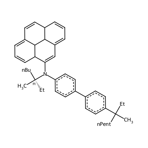 CCCCCC(C)(CC)c1ccc(-c2ccc(N(C3=CC4=CC=CC5C=CC6=CC=CC3C6C45)[C@](C)(CC)CCCC)cc2)cc1